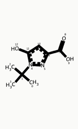 CC(C)(C)n1nc(C(=O)O)cc1O